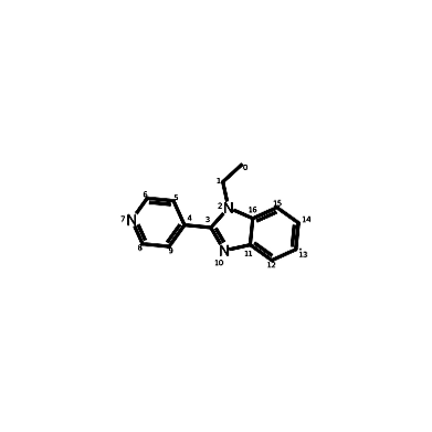 CCn1c(-c2ccncc2)nc2c[c]ccc21